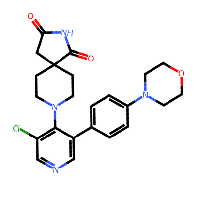 O=C1CC2(CCN(c3c(Cl)cncc3-c3ccc(N4CCOCC4)cc3)CC2)C(=O)N1